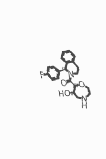 O=C([C@H]1OCCNC[C@H]1O)N1CCc2ccccc2[C@@H]1c1ccc(F)cc1